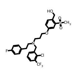 CS(=O)(=O)c1cc(OCCCN(CCc2ccc(F)cc2)Cc2cccc(C(F)(F)F)c2Cl)ccc1CO